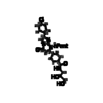 CCCCCn1c(-c2ccc(C(=O)NC[C@H](O)CO)cc2)cc(=O)n2cc(-c3ccc(Cl)cc3)nc12